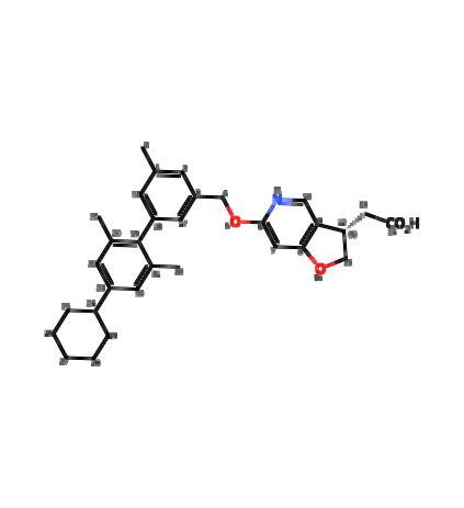 Cc1cc(COc2cc3c(cn2)[C@H](CC(=O)O)CO3)cc(-c2c(C)cc(C3CCCCC3)cc2C)c1